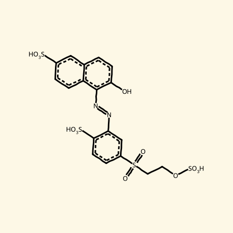 O=S(=O)(O)OCCS(=O)(=O)c1ccc(S(=O)(=O)O)c(/N=N/c2c(O)ccc3cc(S(=O)(=O)O)ccc23)c1